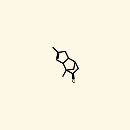 CC1=CC2C(C1)C1CC(=O)C2(C)C1